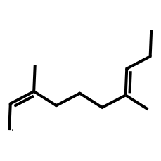 [CH2]C=C(C)CCCC(C)=CCC